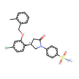 Cc1ccccc1COc1cc(Cl)ccc1[C@H]1CC(=O)N(c2ccc(S(N)(=O)=O)cc2)C1